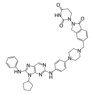 O=C1CCN(N2Cc3cc(CN4CCN(c5ccc(Nc6ncc7nc(Nc8ccccc8)n(C8CCCC8)c7n6)cc5)CC4)ccc3C2=O)C(=O)N1